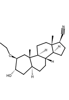 CCO[C@H]1C[C@@]2(C)[C@@H](CC[C@@H]3[C@@H]2CC[C@]2(C)[C@@H](C#N)CC[C@@H]32)C[C@@H]1O